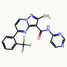 Cc1nn2ccc(-c3ccccc3C(F)(F)F)nc2c1C(=O)Nc1ccncn1